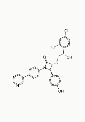 O=C1[C@H](SC[C@@H](O)c2ccc(Cl)cc2O)[C@@H](c2ccc(O)cc2)N1c1ccc(-c2cccnc2)cc1